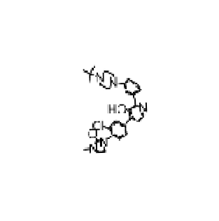 Cn1ccn(-c2ccc(-c3ccnc(-c4cccc(N5CCN(C(C)(C)C)CC5)c4)c3O)cc2Cl)c1=O